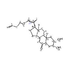 C=CCCO/N=C(/C)C1CCC2C3=CC(=O)C4CC(O)[C@@H](O)CC4(C)C3CCC21C